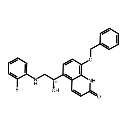 O=c1ccc2c([C@@H](O)CNc3ccccc3Br)ccc(OCc3ccccc3)c2[nH]1